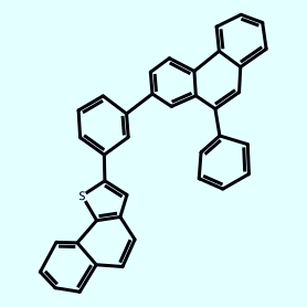 c1ccc(-c2cc3ccccc3c3ccc(-c4cccc(-c5cc6ccc7ccccc7c6s5)c4)cc23)cc1